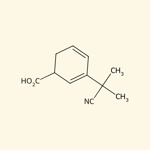 CC(C)(C#N)C1=CC(C(=O)O)CC=C1